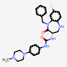 CN1CCN(c2ccc(NC(=O)N[C@H]3CNc4ccc(F)cc4N(Cc4ccccc4)C3=O)cc2)CC1